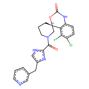 O=C1Nc2ccc(Cl)c(F)c2[C@@]2(CCCN(C(=O)c3nc(Cc4cccnc4)c[nH]3)C2)O1